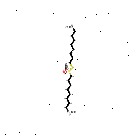 CCCCCCCCCCCCCCCCCCSSCCCCCCCCCCCCCCCCCC.CCO